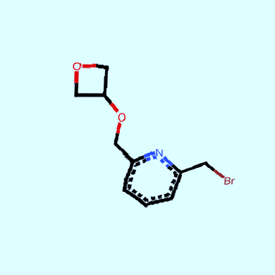 BrCc1cccc(COC2COC2)n1